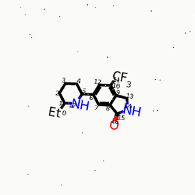 CCC1CCCC(c2cc3c(c(C(F)(F)F)c2)CNC3=O)N1